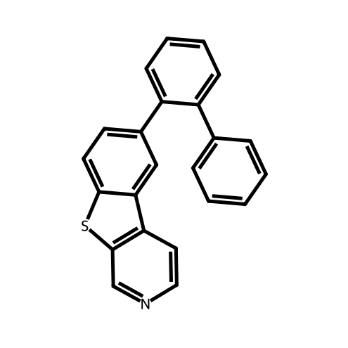 c1ccc(-c2ccccc2-c2ccc3sc4cnccc4c3c2)cc1